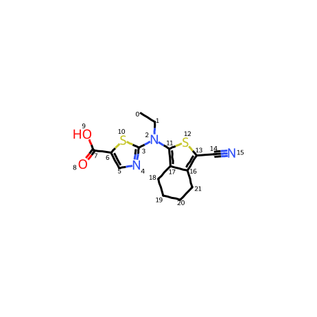 CCN(c1ncc(C(=O)O)s1)c1sc(C#N)c2c1CCCC2